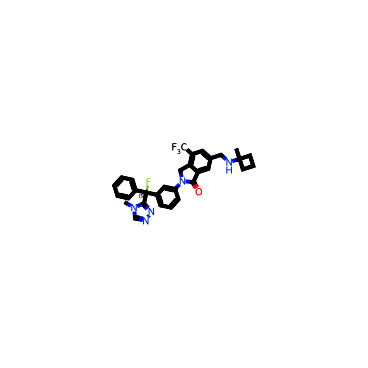 Cn1cnnc1[C@](F)(c1ccccc1)c1cccc(N2Cc3c(cc(CNC4(C)CCC4)cc3C(F)(F)F)C2=O)c1